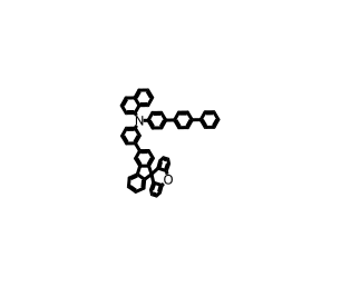 c1ccc(-c2ccc(-c3ccc(N(c4cccc(-c5ccc6c(c5)-c5ccccc5C65c6ccccc6Oc6ccccc65)c4)c4cccc5ccccc45)cc3)cc2)cc1